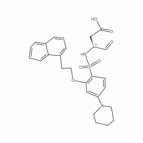 O=C[C@H](CC(=O)O)NS(=O)(=O)c1ccc(N2CCCCC2)cc1OCCc1cccc2ccccc12